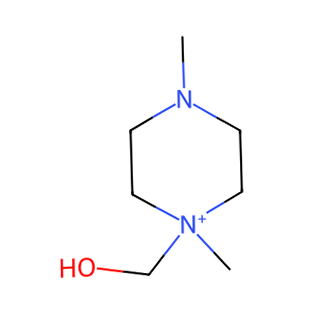 CN1CC[N+](C)(CO)CC1